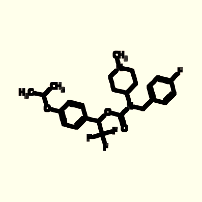 CC(C)Oc1ccc(C(OC(=O)N(Cc2ccc(F)cc2)C2CCN(C)CC2)C(F)(F)F)cc1